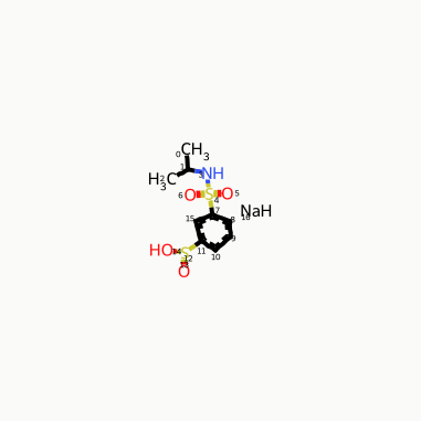 CC(C)NS(=O)(=O)c1cccc(S(=O)O)c1.[NaH]